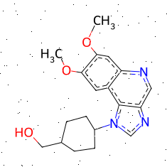 COc1cc2ncc3ncn(C4CCC(CO)CC4)c3c2cc1OC